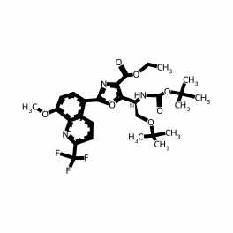 CCOC(=O)c1nc(-c2ccc(OC)c3nc(C(F)(F)F)ccc23)oc1[C@H](COC(C)(C)C)NC(=O)OC(C)(C)C